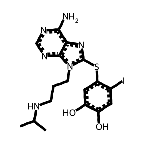 CC(C)NCCCn1c(Sc2cc(O)c(O)cc2I)nc2c(N)ncnc21